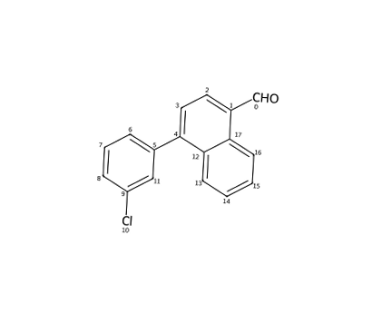 O=Cc1ccc(-c2cccc(Cl)c2)c2ccccc12